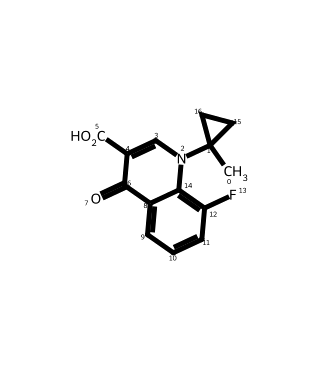 CC1(n2cc(C(=O)O)c(=O)c3cccc(F)c32)CC1